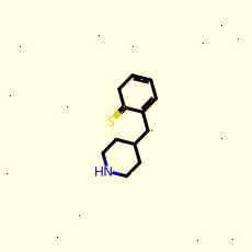 S=C1CC=CC=C1[CH]C1CCNCC1